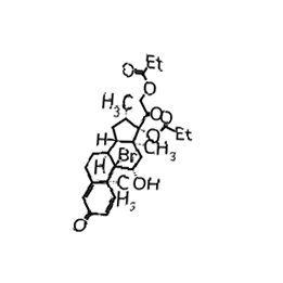 CCC(=O)OCC(=O)[C@]1(OC(=O)CC)[C@@H](C)C[C@H]2[C@@H]3CCC4=CC(=O)C=C[C@]4(C)[C@@]3(Br)[C@@H](O)C[C@@]21C